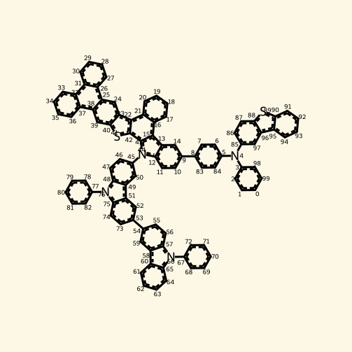 c1ccc(N(c2ccc(-c3ccc4c(c3)c3c5ccccc5c5c6cc7c8ccccc8c8ccccc8c7cc6sc5c3n4-c3ccc4c(c3)c3cc(-c5ccc6c(c5)c5ccccc5n6-c5ccccc5)ccc3n4-c3ccccc3)cc2)c2ccc3sc4ccccc4c3c2)cc1